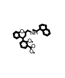 COC(=O)c1cccc(C2CC(CNCCc3cccc4ccccc34)Oc3ccccc32)c1OC